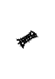 CC1C2C3C4C5C6CC7C8CC9C%10C%11C%12C%13C%14C%15CC%15C1(C)C2%14C3%13C4%12C5%11C6%10C879